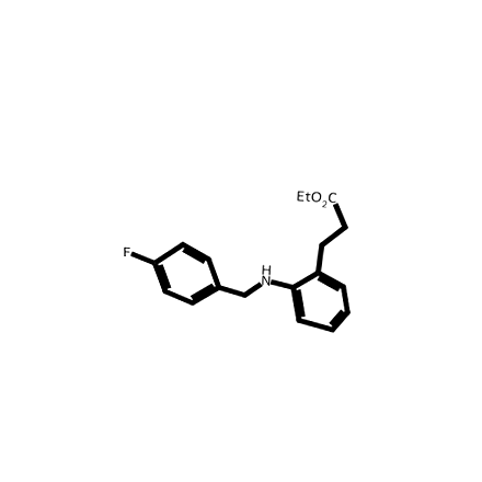 CCOC(=O)CCc1ccccc1NCc1ccc(F)cc1